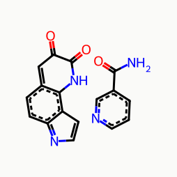 NC(=O)c1cccnc1.O=C1C=c2ccc3c(c2NC1=O)C=CN=3